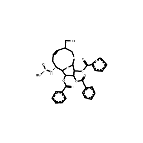 CC(C)(C)[S@@+]([O-])N[C@@H]1C/C=C\C(CO)CSC2OC1C(OC(=O)c1ccccc1)C(OC(=O)c1ccccc1)C2OC(=O)c1ccccc1